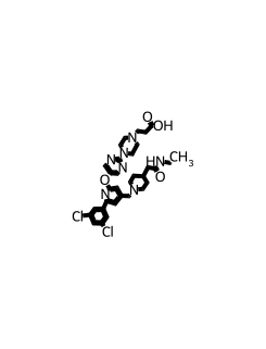 CCNC(=O)CC1CCN(Cc2cc(Oc3cnc(N4CCN(CCC(=O)O)CC4)nc3)nc(-c3cc(Cl)cc(Cl)c3)c2)CC1